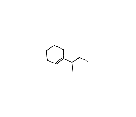 C[CH]C(C)C1=CCCCC1